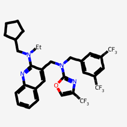 CCN(CC1CCCC1)c1nc2ccccc2cc1CN(Cc1cc(C(F)(F)F)cc(C(F)(F)F)c1)c1nc(C(F)(F)F)co1